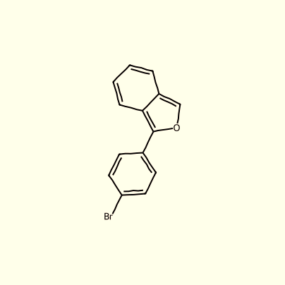 Brc1ccc(-c2occ3ccccc23)cc1